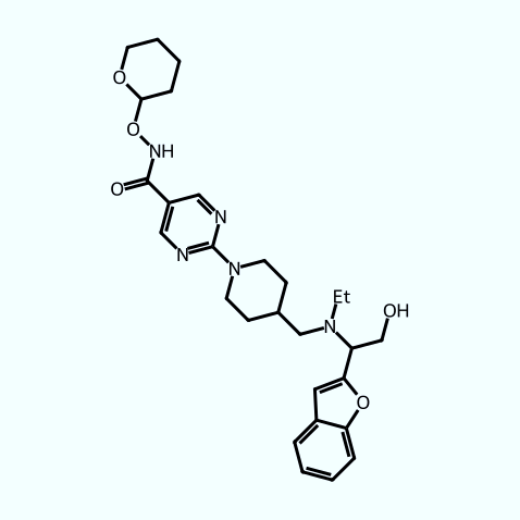 CCN(CC1CCN(c2ncc(C(=O)NOC3CCCCO3)cn2)CC1)C(CO)c1cc2ccccc2o1